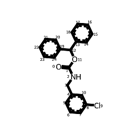 O=C(N[CH]c1cccc(Cl)c1)OC(c1ccccc1)c1ccccc1